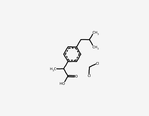 CC(C)Cc1ccc(C(C)C(=O)O)cc1.ClCCl